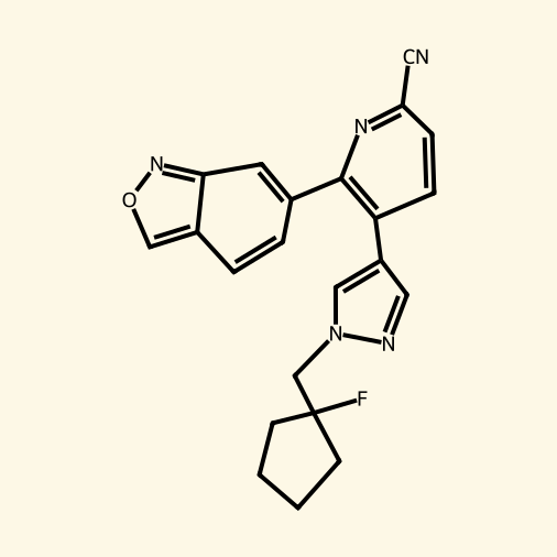 N#Cc1ccc(-c2cnn(CC3(F)CCCC3)c2)c(-c2ccc3conc3c2)n1